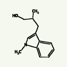 CC(CO)Cc1cn(C)c2ccccc12